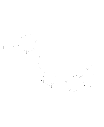 Cc1cccc(OCc2cn(-c3ccc(F)c(C(C)(F)F)c3)nn2)n1